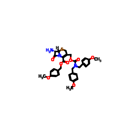 COc1ccc(COC(=O)C2=C(COC(=O)N(Cc3ccc(OC)cc3)Cc3ccc(OC)cc3)CS[C@H]3[C@@H](N)C(=O)N23)cc1